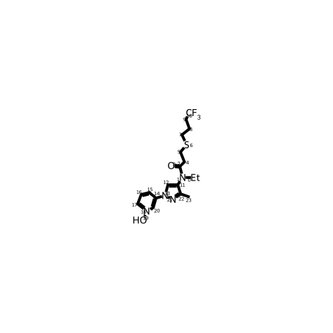 CCN(C(=O)CCSCCCC(F)(F)F)c1cn(-c2ccc[n+](O)c2)nc1C